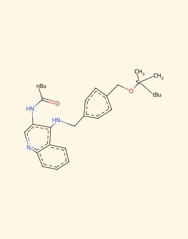 CCCCC(=O)Nc1cnc2ccccc2c1NCc1ccc(CO[Si](C)(C)C(C)(C)C)cc1